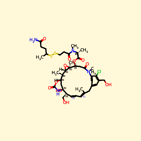 C/C1=C\C=C\[C@@H](CO)[C@@]2(O)C[C@H](OC(=O)N2)[C@@H](C)[C@@H]2O[C@@]2(C)[C@@H](OC(=O)[C@@H](C)N(C)C(=O)CCSSC(C)CCC(N)=O)CC(=O)N(C)c2cc(cc(CO)c2Cl)C1